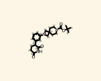 CC(C)(C)OC(=O)N1CCC2(CC1)CN(c1cccc(C3CCC(=O)NC3=O)c1)C2